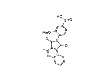 COc1cc([N+](=O)O)ccc1N1C(=O)c2c(C)nc3ccccc3c2C1=O